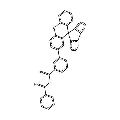 N=C(SC(=N)c1cccc(-c2ccc3c(c2)C2(c4ccccc4O3)c3ccccc3-c3ccccc32)c1)c1ccccc1